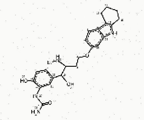 CCNC(CCOc1ccc2c3c([nH]c2c1)CCCC3)C(O)c1ccc(O)c(NC(N)=O)c1